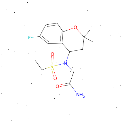 CCS(=O)(=O)N(CC(N)=O)C1CC(C)(C)Oc2ccc(F)cc21